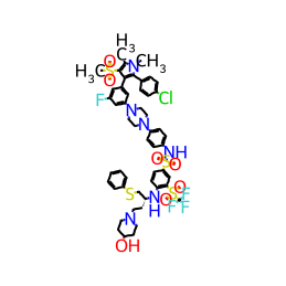 Cc1c(S(C)(=O)=O)c(-c2cc(F)cc(N3CCN(c4ccc(NS(=O)(=O)c5ccc(N[C@H](CCN6CCC(O)CC6)CSc6ccccc6)c(S(=O)(=O)C(F)(F)F)c5)cc4)CC3)c2)c(-c2ccc(Cl)cc2)n1C